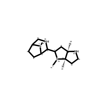 CN1C2CCC1C(C1C[C@H]3NCC[C@H]3N1I)NC2